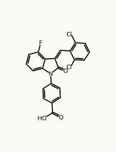 O=C(O)c1ccc(N2C(=O)/C(=C\c3c(Cl)cccc3Cl)c3c(F)cccc32)cc1